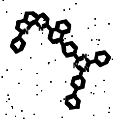 c1ccc(-c2ccc(-c3nc(-c4ccccc4)nc(-c4ccc(-c5ccc(-c6ccc7ccc8ccc(-c9ccccc9)nc8c7n6)c6ccccc56)cc4)n3)cc2)cc1